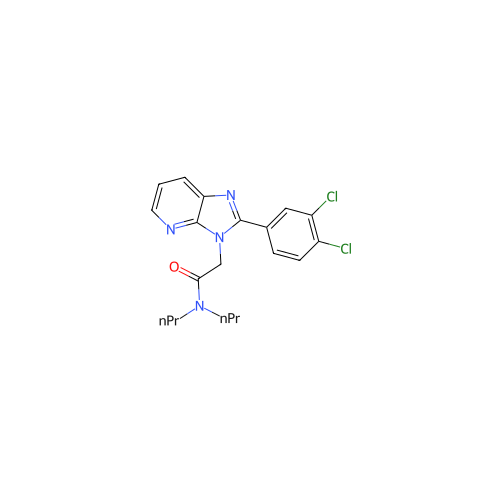 CCCN(CCC)C(=O)Cn1c(-c2ccc(Cl)c(Cl)c2)nc2cccnc21